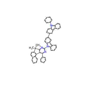 CC1(C)c2ccc3ccccc3c2-c2c(-c3ccccc3)nc(-n3c4ccccc4c4cc(-c5ccc6c(c5)c5ccccc5n6-c5ccccc5)ccc43)nc21